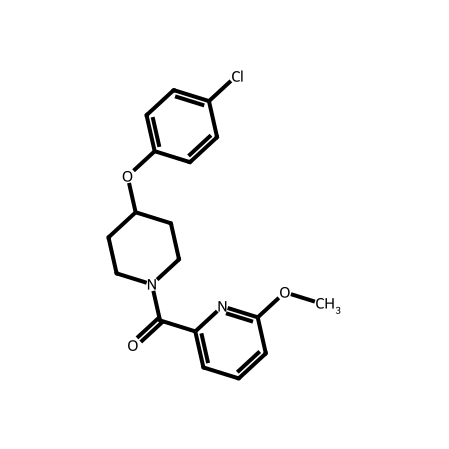 COc1cccc(C(=O)N2CCC(Oc3ccc(Cl)cc3)CC2)n1